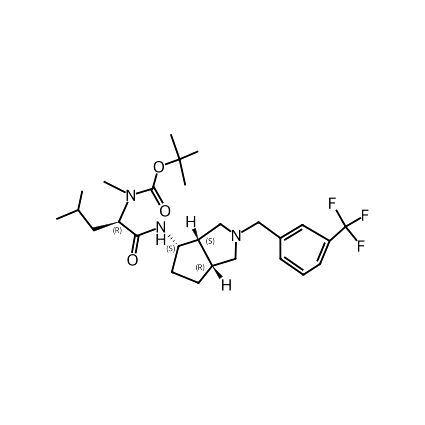 CC(C)C[C@H](C(=O)N[C@H]1CC[C@H]2CN(Cc3cccc(C(F)(F)F)c3)C[C@H]21)N(C)C(=O)OC(C)(C)C